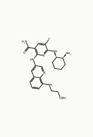 COCCNc1cccc2cc(Nc3nc(N[C@@H]4CCCC[C@@H]4N)c(F)cc3C(N)=O)cnc12